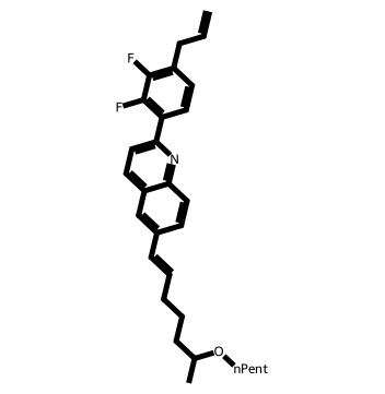 C=CCc1ccc(-c2ccc3cc(/C=C/CCCC(C)OCCCCC)ccc3n2)c(F)c1F